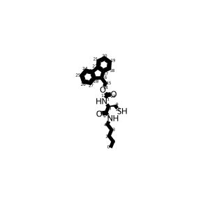 CCCCCNC(=O)[C@H](CS)NC(=O)OCC1c2ccccc2-c2ccccc21